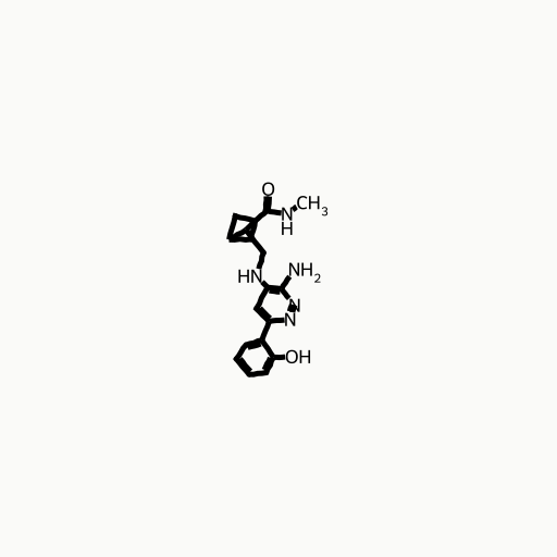 CNC(=O)C12CC(C1)C2CNc1cc(-c2ccccc2O)nnc1N